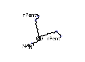 C=NN(/C=C(\C)CCC1COC(CCCCCCCC/C=C\C/C=C\CCCCC)(CCCCCCCC/C=C\C/C=C\CCCCC)O1)CCN(C)C